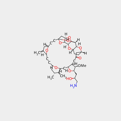 C=C1C[C@@H]2CCC34C[C@H]5OC6[C@@H](O[C@H]7CC[C@H](CC(=O)C[C@@H]8[C@@H](OC)[C@@H](C[C@H](O)CN)O[C@H]8C[C@H]8O[C@@H](CC[C@@H]1O2)C[C@@H](C)C8=C)O[C@@H]7[C@@H]6O3)[C@H]5O4